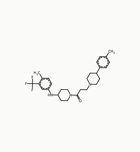 Cc1ccc(C2CCN(CCC(=O)N3CCC(Nc4ccc(C)c(C(F)(F)F)c4)CC3)CC2)cc1